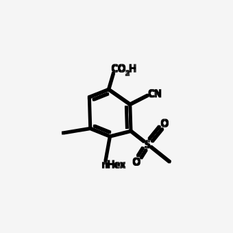 CCCCCCc1c(C)cc(C(=O)O)c(C#N)c1S(C)(=O)=O